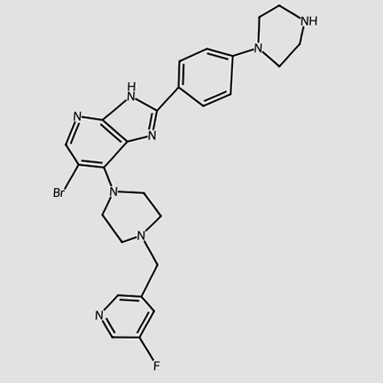 Fc1cncc(CN2CCN(c3c(Br)cnc4[nH]c(-c5ccc(N6CCNCC6)cc5)nc34)CC2)c1